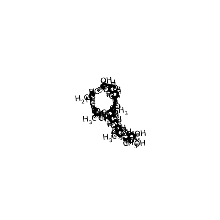 C=C1C[C@@H]2CC[C@]34C[C@@H](O)C(O3)[C@H]3CC(O4)[C@H]4O[C@H](CC[C@@H]4O3)CC(=O)O[C@@H]3[C@@H](C)[C@@H]4O[C@@H]5C[C@]6(C[C@@H]7O[C@]8(C[C@H](C)[C@@H]9O[C@H](CO)[C@H](O)C[C@@H]9O8)C[C@H](C)[C@@H]7O6)O[C@@H]5C[C@@H]4O[C@H]3C[C@H]3O[C@@H](CC[C@@H]1O2)C[C@@H](C)C3=C